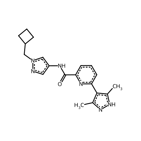 Cc1n[nH]c(C)c1-c1cccc(C(=O)Nc2cnn(CC3CCC3)c2)n1